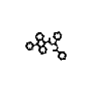 C=C(/N=C(\N=C(/C)c1c2ccccc2c(-c2ccccn2)c2ccccc12)c1ccccc1)c1ccccc1